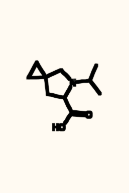 CC(C)N1CC2(CC2)CC1C(=O)O